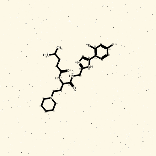 CC(C)CCC(=O)NC(CCN1CCCCC1)C(=O)NCc1ncc(-c2ccc(F)cc2F)[nH]1